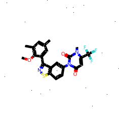 COc1c(C)cc(C)cc1-c1nsc2ccc(-n3c(=O)cc(C(F)(F)F)n(C)c3=O)cc12